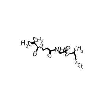 C=C(C)C(=O)OCCC(=O)NCC(=O)OC(C)CSCC